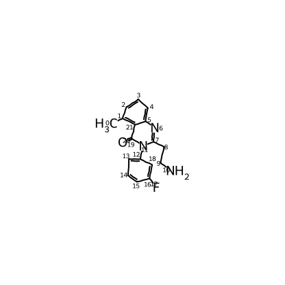 Cc1cccc2nc(CCN)n(-c3cccc(F)c3)c(=O)c12